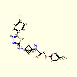 O=C(COc1ccc(Cl)cc1)NC12CC(Nc3nnc(-c4ccc(Cl)cc4)s3)(C1)C2